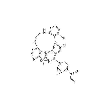 C=CC(=O)N1CCN(c2nc(=O)n3c4nc(c(Cl)cc24)-c2c(F)cccc2NCCOc2ccnc(C(C)C)c2-3)C2C[C@H]21